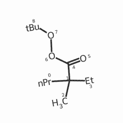 CCCC(C)(CC)C(=O)OOC(C)(C)C